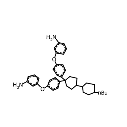 CCCCC1CCC(C2CCC(c3ccc(Oc4cccc(N)c4)cc3)(c3ccc(Oc4cccc(N)c4)cc3)CC2)CC1